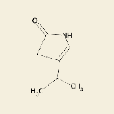 CC(C)C1=CNC(=O)C1